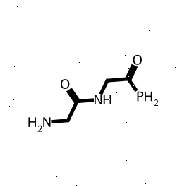 NCC(=O)NCC(=O)P